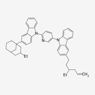 C=CCC(CC)CCc1ccc2c(c1)c1ccccc1n2-c1ccc(-n2c3ccccc3c3cc(C45CCCC(CC(CC)C4)C5)ccc32)nc1